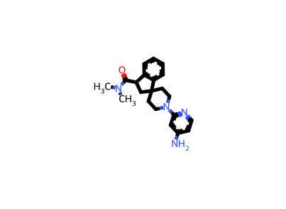 CN(C)C(=O)C1CC2(CCN(c3cc(N)ccn3)CC2)c2ccccc21